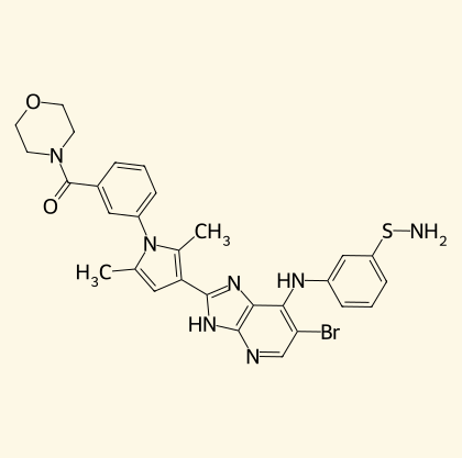 Cc1cc(-c2nc3c(Nc4cccc(SN)c4)c(Br)cnc3[nH]2)c(C)n1-c1cccc(C(=O)N2CCOCC2)c1